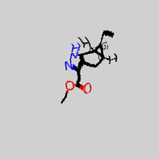 C=C[C@H]1[C@@H]2CC3C(C(=O)OCC)=NNC3[C@H]12